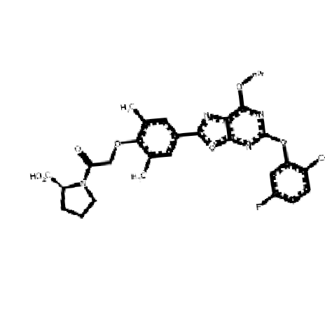 CCCOc1nc(Oc2cc(F)ccc2C)nc2oc(-c3cc(C)c(OCC(=O)N4CCC[C@H]4C(=O)O)c(C)c3)nc12